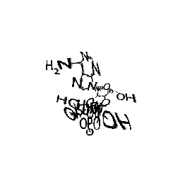 Nc1ncnc2c1ncn2[C@@H]1O[C@H](CO)C(OP(=O)(O)OP(=O)(O)OP(=O)(O)O)C1O